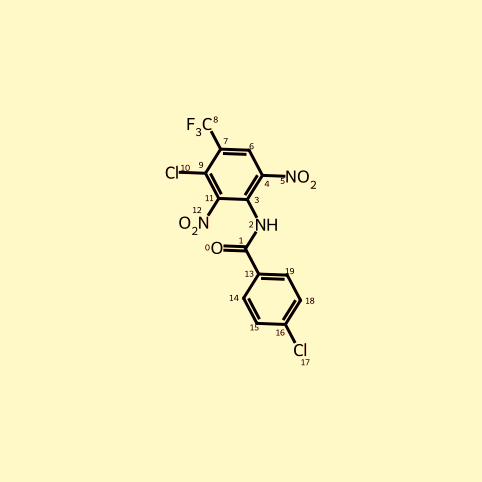 O=C(Nc1c([N+](=O)[O-])cc(C(F)(F)F)c(Cl)c1[N+](=O)[O-])c1ccc(Cl)cc1